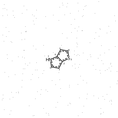 [c]1cc2s[c]cc2[nH]1